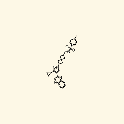 Cc1ccc(S(=O)(=O)OCC2CC3(C2)CC(n2cc(-c4cnc5ccccc5n4)c(C4CC4)n2)C3)cc1